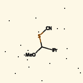 COC(SC#N)C(C)C